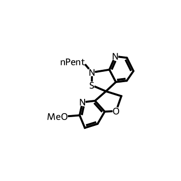 CCCCCN1SC2(COc3ccc(OC)nc32)c2cccnc21